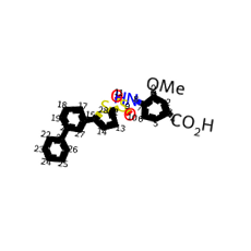 COc1cc(C(=O)O)ccc1NS(=O)(=O)c1ccc(-c2cccc(-c3ccccc3)c2)s1